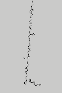 O=C(CCSCSCCC[S+]([O-])CCSCSCCSC(=O)CCSCSCCCOOCSCO)OCSCO